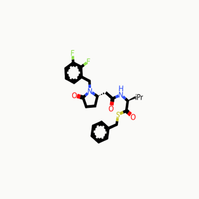 CC(C)[C@H](NC(=O)C[C@@H]1CCC(=O)N1Cc1cccc(F)c1F)C(=O)SCc1ccccc1